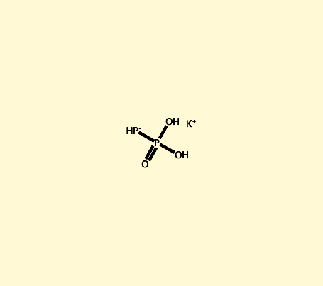 O=P(O)(O)[PH-].[K+]